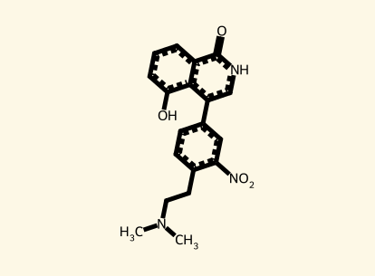 CN(C)CCc1ccc(-c2c[nH]c(=O)c3cccc(O)c23)cc1[N+](=O)[O-]